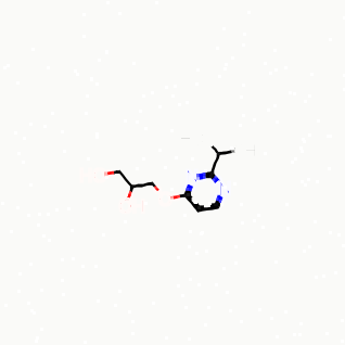 CC(C)c1nccc(OCC(O)CO)n1